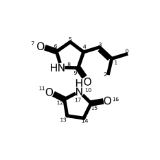 CC(C)=CC1CC(=O)NC1=O.O=C1CCC(=O)N1